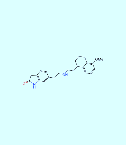 COc1cccc2c1CCCC2CCNCCc1ccc2c(c1)NC(=O)C2